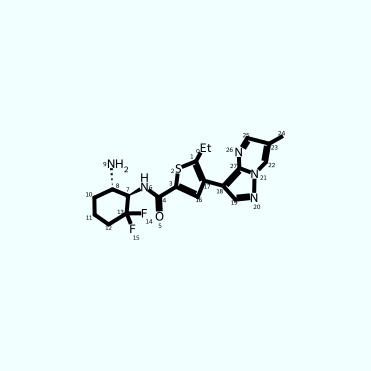 CCc1sc(C(=O)N[C@@H]2[C@@H](N)CCCC2(F)F)cc1-c1cnn2cc(C)cnc12